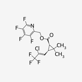 CC1(C)[C@H](C(=O)OCc2nc(F)c(F)c(F)c2F)[C@@H]1C=C(Cl)C(F)(F)F